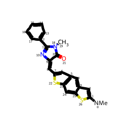 CNc1cc2cc3cc(/C=C4/N=C(c5ccccc5)N(C)C4=O)sc3cc2s1